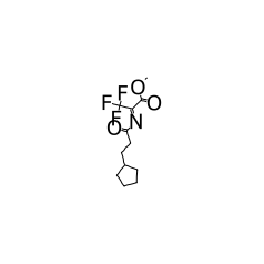 COC(=O)/C(=N/C(=O)CCC1CCCC1)C(F)(F)F